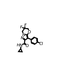 O=C(NC1CC1)c1nn2c(c1-c1ccc(Cl)cc1)OCC(F)(F)C2